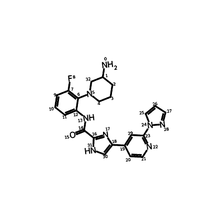 NC1CCCN(c2c(F)cccc2NC(=O)c2nc(-c3ccnc(-n4cccn4)c3)c[nH]2)C1